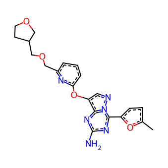 Cc1ccc(-c2nc(N)nc3c(Oc4cccc(COCC5CCOC5)n4)cnn23)o1